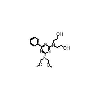 COCN(COC)c1nc(-c2ccccc2)nc(N(CCO)CCO)n1